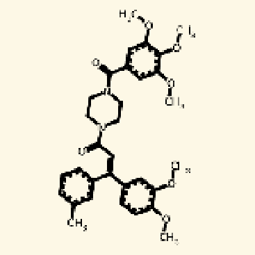 COc1ccc(C(=CC(=O)N2CCN(C(=O)c3cc(OC)c(OC)c(OC)c3)CC2)c2cccc(C)c2)cc1OC